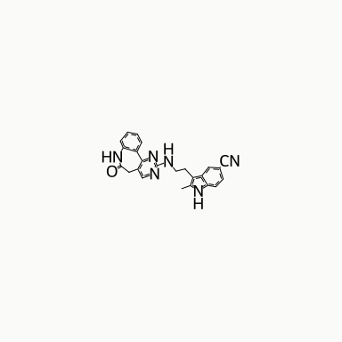 Cc1[nH]c2ccc(C#N)cc2c1CCNc1ncc2c(n1)-c1ccccc1NC(=O)C2